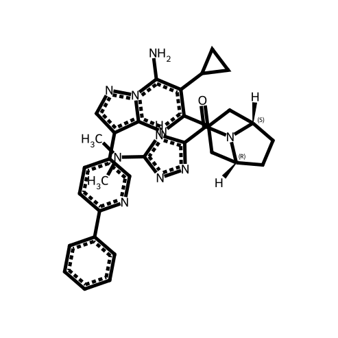 CN(C)c1nnc(C(=O)N2[C@@H]3CC[C@H]2CC(c2nc4c(-c5ccc(-c6ccccc6)nc5)cnn4c(N)c2C2CC2)C3)[nH]1